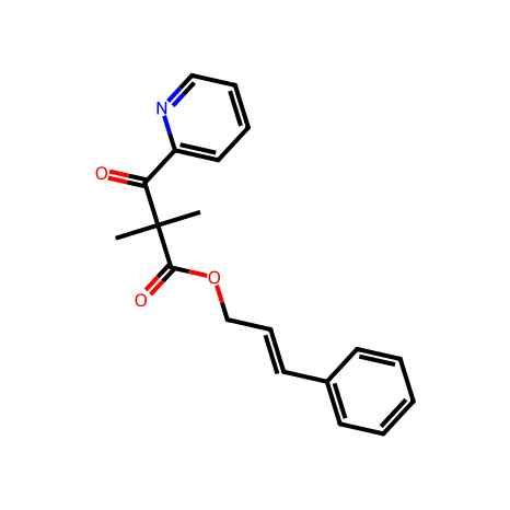 CC(C)(C(=O)OCC=Cc1ccccc1)C(=O)c1ccccn1